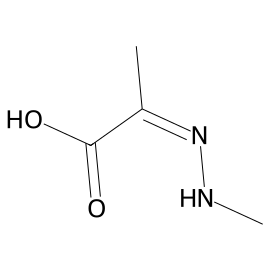 CNN=C(C)C(=O)O